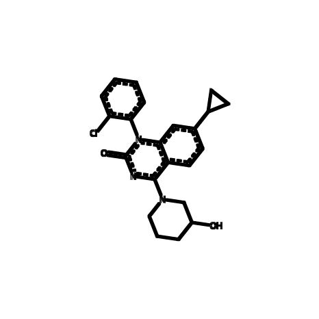 O=c1nc(N2CCCC(O)C2)c2ccc(C3CC3)cc2n1-c1ccccc1Cl